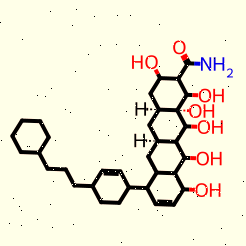 NC(=O)C1C(O)C[C@@H]2C[C@@H]3CC4C(C5C=CC(CCCC6CCCCC6)CC5)C=CC(O)C4C(O)C3C(O)[C@]2(O)C1O